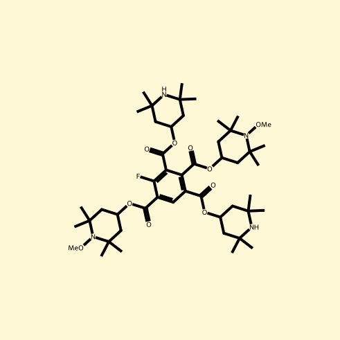 CON1C(C)(C)CC(OC(=O)c2cc(C(=O)OC3CC(C)(C)NC(C)(C)C3)c(C(=O)OC3CC(C)(C)N(OC)C(C)(C)C3)c(C(=O)OC3CC(C)(C)NC(C)(C)C3)c2F)CC1(C)C